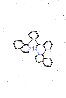 ON=C(c1ccccc1-c1nccc2ccccc12)c1ccccc1-c1nccc2ccccc12